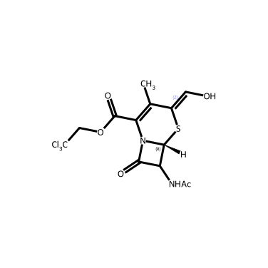 CC(=O)NC1C(=O)N2C(C(=O)OCC(Cl)(Cl)Cl)=C(C)/C(=C/O)S[C@H]12